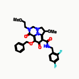 COCCN1CN2CC(OC)c3c(C(=O)NCc4ccc(F)cc4F)c(=O)c(OCc4ccccc4)c(n32)C1=O